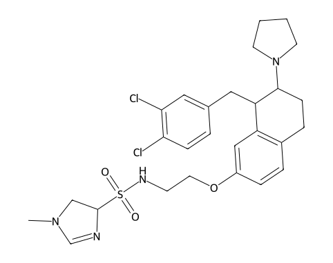 CN1C=NC(S(=O)(=O)NCCOc2ccc3c(c2)C(Cc2ccc(Cl)c(Cl)c2)C(N2CCCC2)CC3)C1